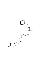 CCC[C@H](C[C@@H](CNC(=O)[C@H](CSC)NC(=O)O[C@H]1CCOC1)N=O)C(=O)NC(C(=O)NCc1ccccc1)C(C)C